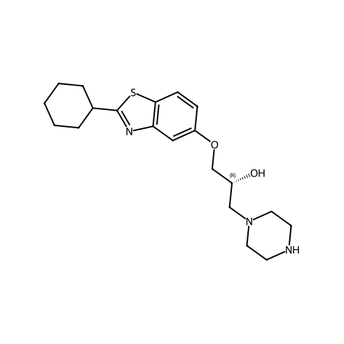 O[C@@H](COc1ccc2sc(C3CCCCC3)nc2c1)CN1CCNCC1